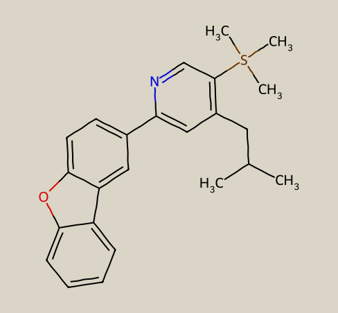 CC(C)Cc1cc(-c2ccc3oc4ccccc4c3c2)ncc1S(C)(C)C